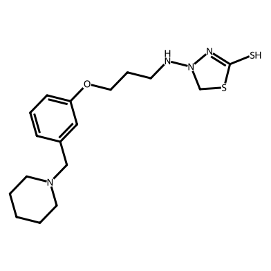 SC1=NN(NCCCOc2cccc(CN3CCCCC3)c2)CS1